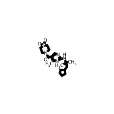 CC(C)(CC1CCCC1)Nc1ncc(C(=O)N2CCS(=O)(=O)CC2)c(C(F)(F)F)n1